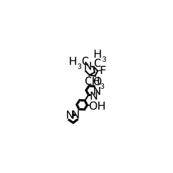 CN1C[C@]2(C)C[C@@]1(C)[C@@H](F)[C@H]2Oc1ccc(-c2ccc(-n3cccn3)cc2O)nn1